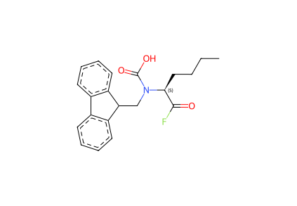 CCCC[C@@H](C(=O)F)N(CC1c2ccccc2-c2ccccc21)C(=O)O